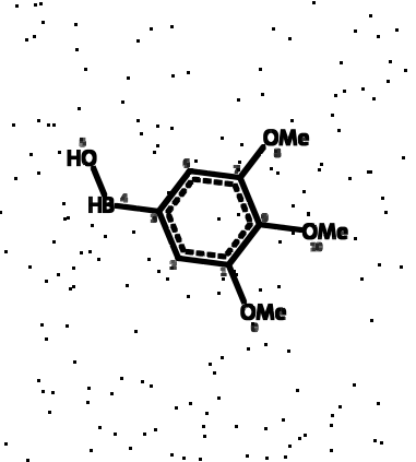 COc1cc(BO)cc(OC)c1OC